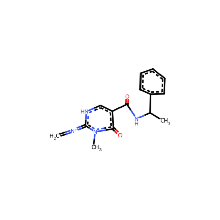 C=[N+]=c1[nH]cc(C(=O)NC(C)c2ccccc2)c(=O)n1C